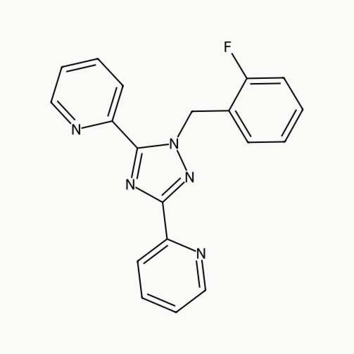 Fc1ccccc1Cn1nc(-c2ccccn2)nc1-c1ccccn1